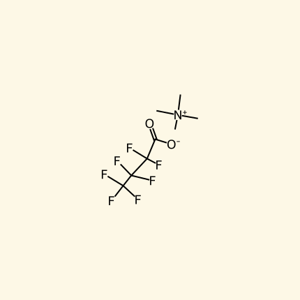 C[N+](C)(C)C.O=C([O-])C(F)(F)C(F)(F)C(F)(F)F